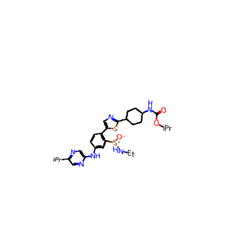 CCN[S+]([O-])c1cc(Nc2cnc(C(C)C)cn2)ccc1-c1cnc(C2CCC(NC(=O)OC(C)C)CC2)s1